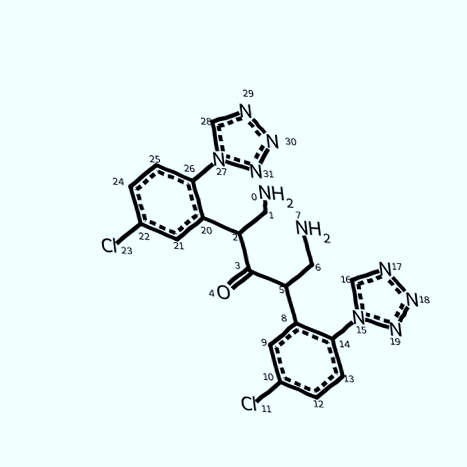 NCC(C(=O)C(CN)c1cc(Cl)ccc1-n1cnnn1)c1cc(Cl)ccc1-n1cnnn1